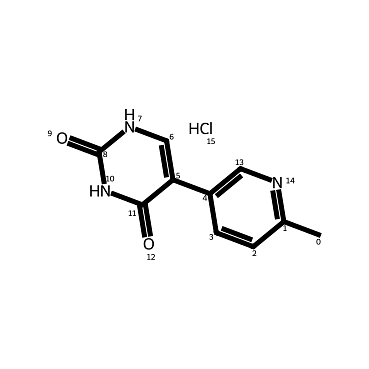 Cc1ccc(-c2c[nH]c(=O)[nH]c2=O)cn1.Cl